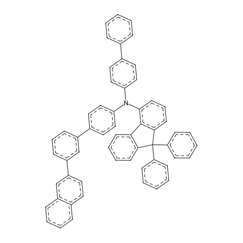 c1ccc(-c2ccc(N(c3ccc(-c4cccc(-c5ccc6ccccc6c5)c4)cc3)c3cccc4c3-c3ccccc3C4(c3ccccc3)c3ccccc3)cc2)cc1